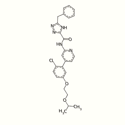 CC(C)OCCOc1ccc(Cl)c(-c2ccnc(NC(=O)c3nnc(Cc4ccccc4)[nH]3)c2)c1